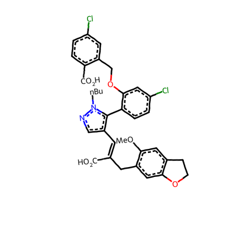 CCCCn1ncc(C=C(Cc2cc3c(cc2OC)CCO3)C(=O)O)c1-c1ccc(Cl)cc1OCc1cc(Cl)ccc1C(=O)O